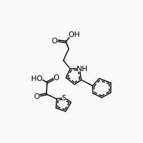 O=C(O)C(=O)c1cccs1.O=C(O)CCc1ccc(-c2ccccc2)[nH]1